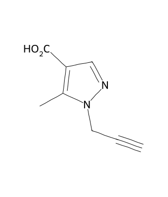 C#CCn1ncc(C(=O)O)c1C